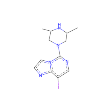 CC1CN(c2ncc(I)c3nccn23)CC(C)N1